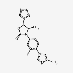 Cc1cn(-c2ccc(N3C(=O)O[C@@H](n4cnnn4)C3C)cc2F)cn1